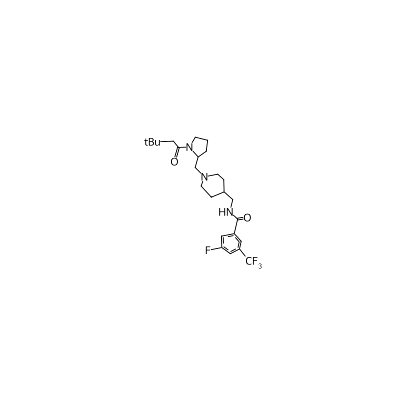 CC(C)(C)CC(=O)N1CCCC1CN1CCC(CNC(=O)c2cc(F)cc(C(F)(F)F)c2)CC1